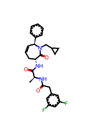 C[C@H](NC(=O)Cc1cc(F)cc(F)c1)C(=O)N[C@@H]1CC=C[C@@H](c2ccccc2)N(CC2CC2)C1=O